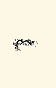 CCC(OC(=O)N(C)C)C(C)C1OC1CC(C)/C=C/C=C(\C)C1OC(=O)CC(O)CCC(C)(O)C(OC(=O)N2CCN(C)CC2)/C=C/C1C